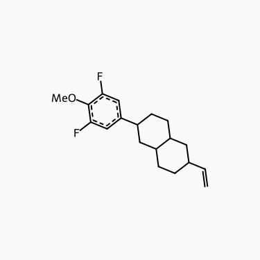 C=CC1CCC2CC(c3cc(F)c(OC)c(F)c3)CCC2C1